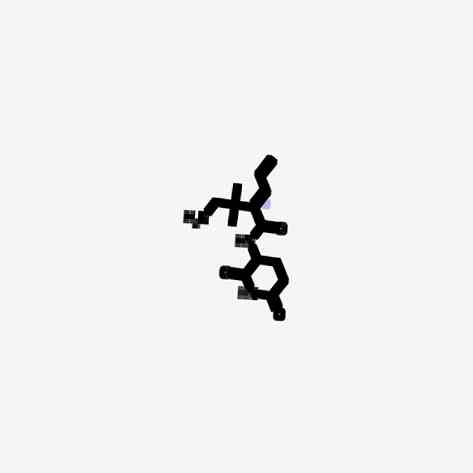 C=C/C=C(/C(=O)NC1CCC(=O)NC1=O)C(C)(C)CN